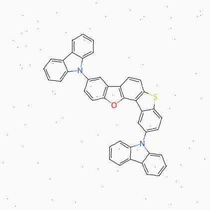 c1ccc2c(c1)c1ccccc1n2-c1ccc2oc3c(ccc4sc5ccc(-n6c7ccccc7c7ccccc76)cc5c43)c2c1